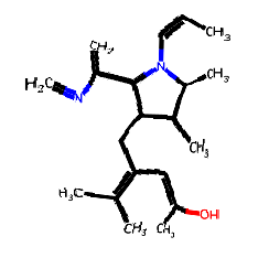 C=NC(=C)C1C(CC(/C=C(\C)O)=C(C)C)C(C)[C@H](C)N1/C=C\C